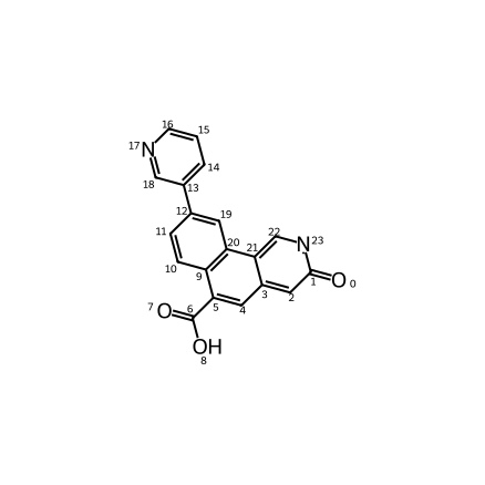 O=C1C=c2cc(C(=O)O)c3ccc(-c4cccnc4)cc3c2=C[N]1